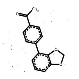 CC(=O)c1ccc(-c2cccc3c2OCO3)cc1